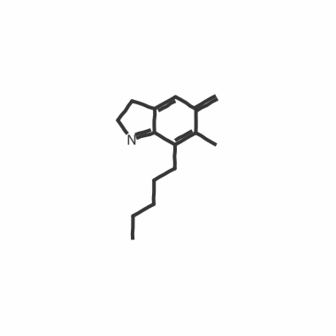 C=c1cc2c(c(CCCCC)c1C)=NCC2